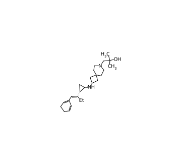 CC/C(=C\C1=CCCC=C1)[C@@H]1C[C@H]1NC1CC2(CCN(CC(C)(C)O)CC2)C1